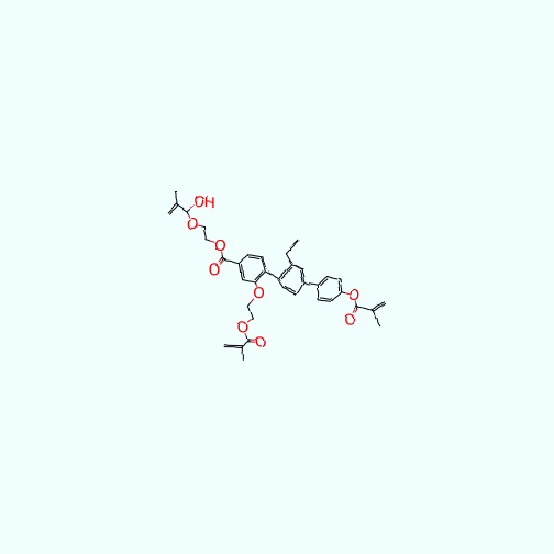 C=C(C)C(=O)OCCOc1cc(C(=O)OCCOC(O)C(=C)C)ccc1-c1ccc(-c2ccc(OC(=O)C(=C)C)cc2)cc1CC